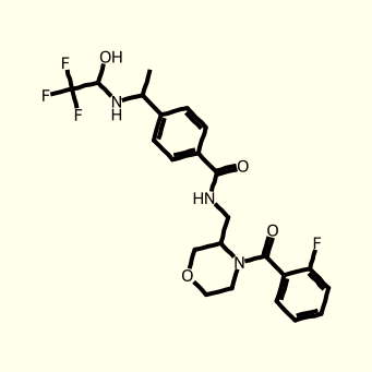 CC(NC(O)C(F)(F)F)c1ccc(C(=O)NCC2COCCN2C(=O)c2ccccc2F)cc1